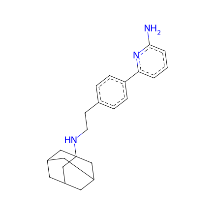 Nc1cccc(-c2ccc(CCNC34CC5CC(CC(C5)C3)C4)cc2)n1